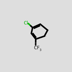 FC(F)(F)C1=CC(Cl)=CC[CH]1